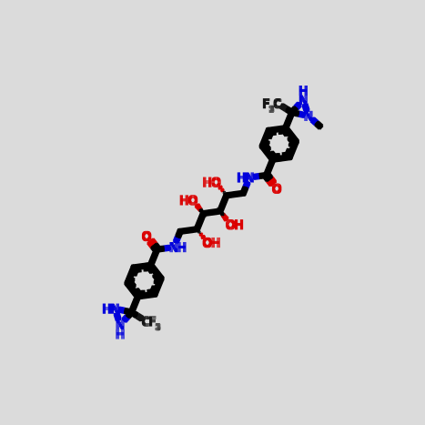 CN1NC1(c1ccc(C(=O)NC[C@@H](O)[C@@H](O)[C@H](O)[C@H](O)CNC(=O)c2ccc(C3(C(F)(F)F)NN3)cc2)cc1)C(F)(F)F